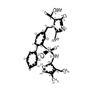 CCCc1nc(Cl)c(C(=O)OC)n1Cc1ccc(-c2ccccc2)c(S(=O)(=O)Nc2onc(C)c2C)c1